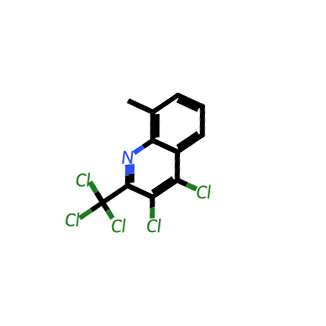 Cc1cccc2c(Cl)c(Cl)c(C(Cl)(Cl)Cl)nc12